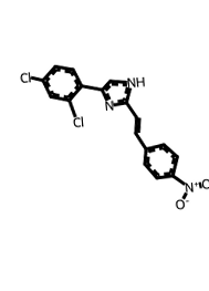 O=[N+]([O-])c1ccc(C=Cc2nc(-c3ccc(Cl)cc3Cl)c[nH]2)cc1